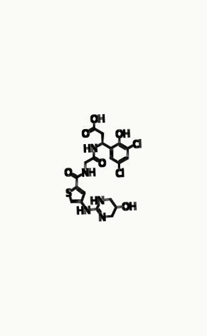 O=C(O)C[C@H](NC(=O)CNC(=O)c1cc(NC2=NCC(O)CN2)cs1)c1cc(Cl)cc(Cl)c1O